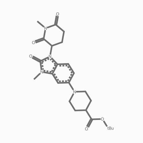 CN1C(=O)CCC(n2c(=O)n(C)c3cc(N4CCC(C(=O)OC(C)(C)C)CC4)ccc32)C1=O